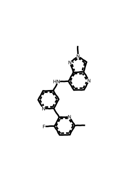 Cc1ccc(F)c(-c2cc(Nc3ccnc4cn(C)nc34)ccn2)n1